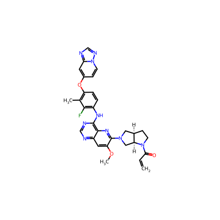 C=CC(=O)N1CC[C@@H]2CN(c3nc4c(Nc5ccc(Oc6ccn7ncnc7c6)c(C)c5F)ncnc4cc3OC)C[C@@H]21